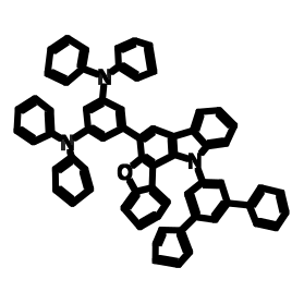 c1ccc(-c2cc(-c3ccccc3)cc(-n3c4ccccc4c4cc(-c5cc(N(c6ccccc6)c6ccccc6)cc(N(c6ccccc6)c6ccccc6)c5)c5oc6ccccc6c5c43)c2)cc1